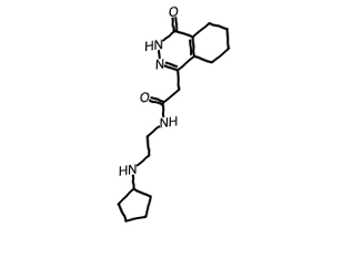 O=C(Cc1n[nH]c(=O)c2c1CCCC2)NCCNC1CCCC1